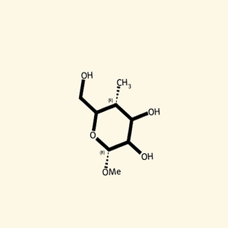 CO[C@@H]1OC(CO)[C@H](C)C(O)C1O